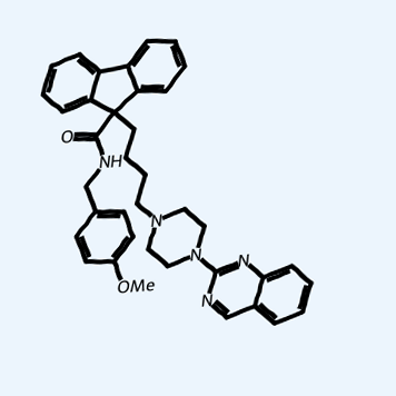 COc1ccc(CNC(=O)C2(CCCCN3CCN(c4ncc5ccccc5n4)CC3)c3ccccc3-c3ccccc32)cc1